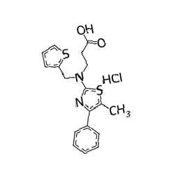 Cc1sc(N(CCC(=O)O)Cc2cccs2)nc1-c1ccccc1.Cl